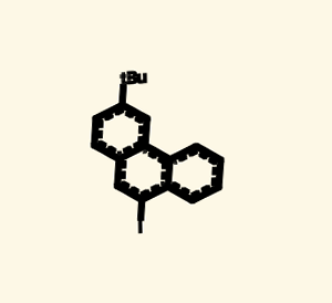 CC(C)(C)c1ccc2cc(I)c3ccccc3c2c1